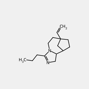 C=CC12CCC(C1)C1CN=C(CCC)N1CC2